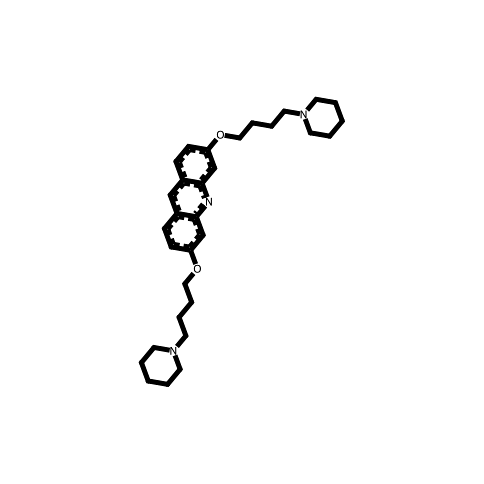 c1cc2cc3ccc(OCCCCN4CCCCC4)cc3nc2cc1OCCCCN1CCCCC1